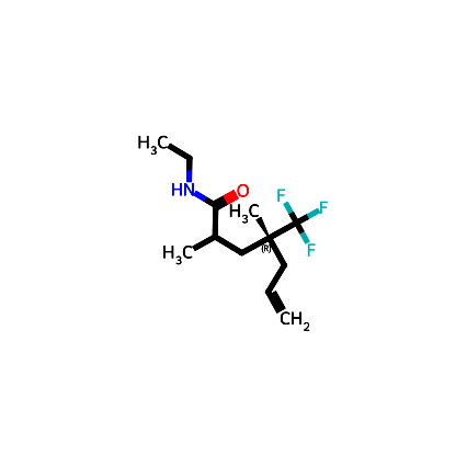 C=CC[C@](C)(CC(C)C(=O)NCC)C(F)(F)F